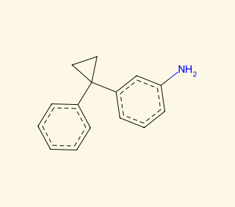 Nc1cccc(C2(c3ccccc3)CC2)c1